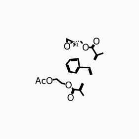 C=C(C)C(=O)OCCOC(C)=O.C=C(C)C(=O)OC[C@H]1CO1.C=Cc1ccccc1